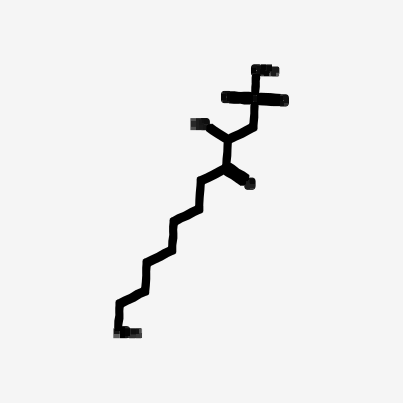 CCCCCCCCCCCCCCCCCC(=O)C(O)CS(=O)(=O)OC